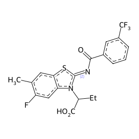 CCC(C(=O)O)n1/c(=N/C(=O)c2cccc(C(F)(F)F)c2)sc2cc(C)c(F)cc21